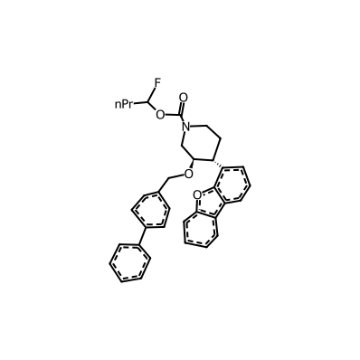 CCCC(F)OC(=O)N1CC[C@H](c2cccc3c2oc2ccccc23)[C@@H](OCc2ccc(-c3ccccc3)cc2)C1